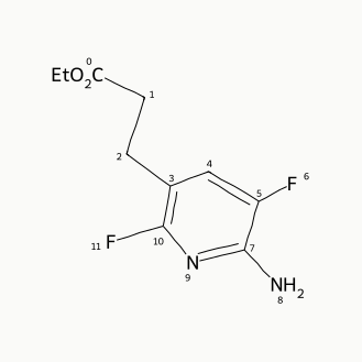 CCOC(=O)CCc1cc(F)c(N)nc1F